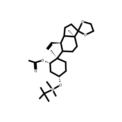 C=C[C@H]1C2CCC3(OCCO3)[C@@]2(C)CCC1[C@@]1(C)CC[C@H](O[Si](C)(C)C(C)(C)C)C[C@@H]1OC(C)=O